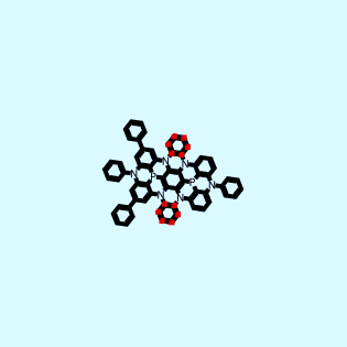 c1ccc(-c2cc3c4c(c2)n(-c2ccccc2)c2c5c6c(c7c2p4c2c(cc(-c4ccccc4)cc2n7-c2ccccc2)n3-c2ccccc2)n(-c2ccccc2)c2cccc3c2p6c2c(cccc2n5-c2ccccc2)n3-c2ccccc2)cc1